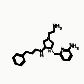 NCCN1CC(NCCCc2ccccc2)[C@@H](Cc2cccc(N)n2)C1